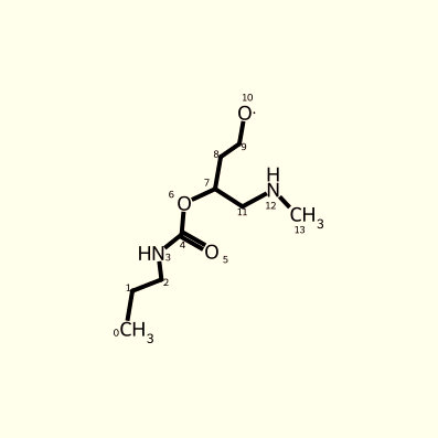 CCCNC(=O)OC(CC[O])CNC